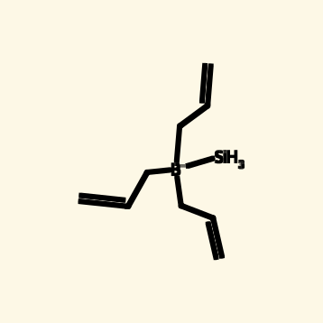 C=CC[B-]([SiH3])(CC=C)CC=C